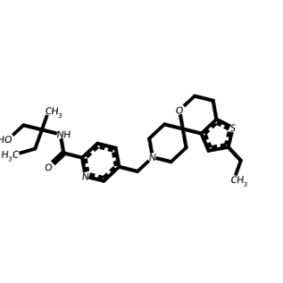 CCc1cc2c(s1)CCOC21CCN(Cc2ccc(C(=O)NC(C)(CC)CO)nc2)CC1